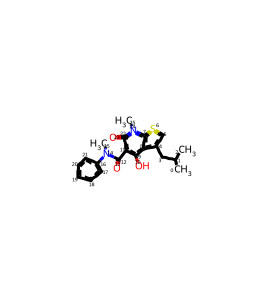 CC(C)Cc1csc2c1c(O)c(C(=O)N(C)c1ccccc1)c(=O)n2C